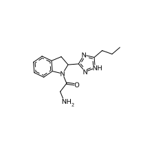 CCCc1nc(C2Cc3ccccc3N2C(=O)CN)n[nH]1